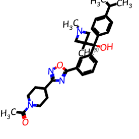 CC(=O)N1CCC(c2noc(-c3cccc([C@@](O)(c4ccc(C(C)C)cc4)C4(C)CN(C)C4)c3)n2)CC1